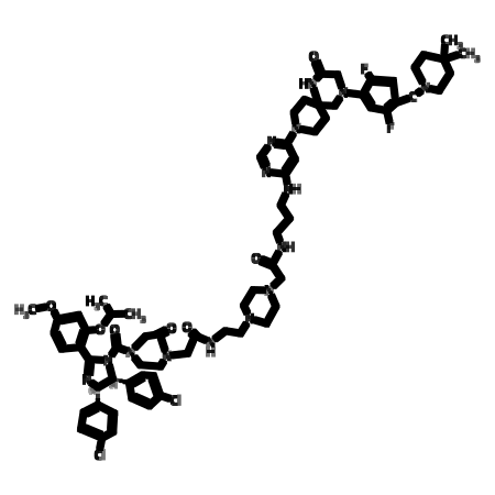 COc1ccc(C2=N[C@@H](c3ccc(Cl)cc3)[C@@H](c3ccc(Cl)cc3)N2C(=O)N2CCN(CC(=O)NCCN3CCN(CC(=O)NCCCNc4cc(N5CCC6(CC5)CN(c5cc(F)c(CN7CCC(C)(C)CC7)cc5F)CC(=O)N6)ncn4)CC3)C(=O)C2)c(OC(C)C)c1